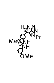 COc1cccc(NC(=O)Nc2cc(C(=O)c3cn(C(C)C)c4ncnc(N)c34)ccc2OC)c1